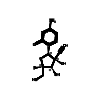 C#C[C@]1(O)[C@H](n2ccc(N)nc2=O)O[C@](F)(CO)[C@H]1O